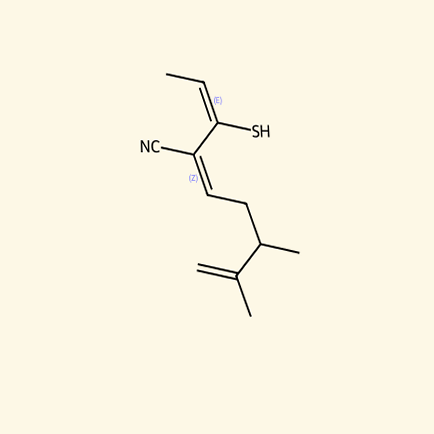 C=C(C)C(C)C/C=C(C#N)\C(S)=C/C